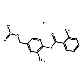 Cc1nc(CO[N+](=O)[O-])ccc1OC(=O)c1ccccc1O.Cl